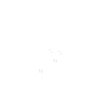 c1ccc(-c2nc(-c3ccc(-c4cccc5ccccc45)cc3)nc(-c3cccc(-n4c5ccccc5c5ccccc54)c3)n2)cc1